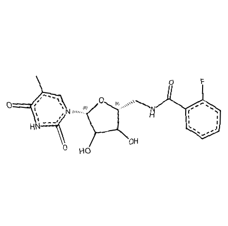 Cc1cn([C@@H]2O[C@H](CNC(=O)c3ccccc3F)C(O)C2O)c(=O)[nH]c1=O